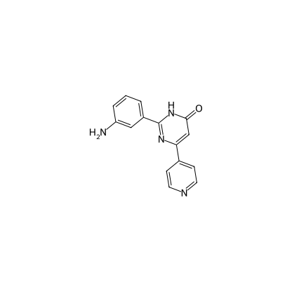 Nc1cccc(-c2nc(-c3ccncc3)cc(=O)[nH]2)c1